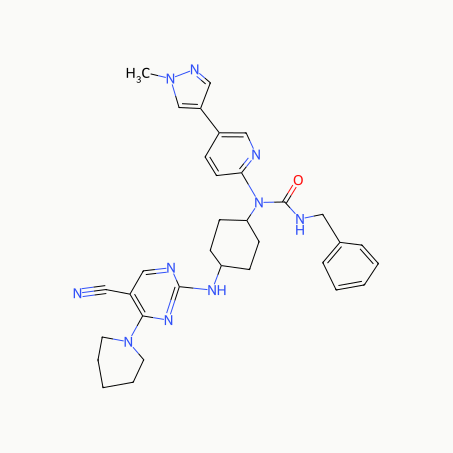 Cn1cc(-c2ccc(N(C(=O)NCc3ccccc3)C3CCC(Nc4ncc(C#N)c(N5CCCCC5)n4)CC3)nc2)cn1